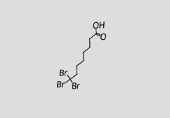 O=C(O)CCCCCCC(Br)(Br)Br